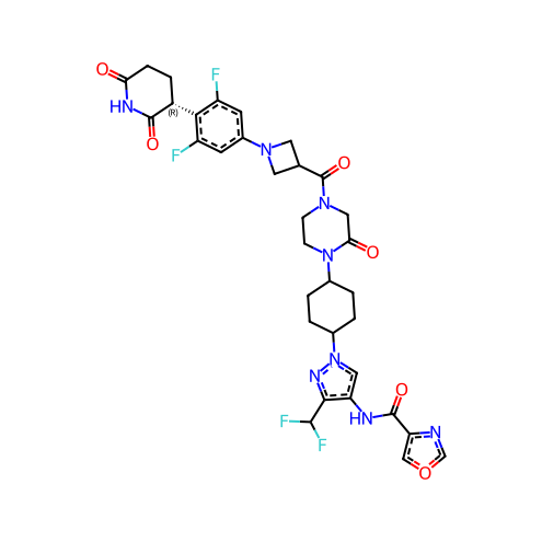 O=C1CC[C@H](c2c(F)cc(N3CC(C(=O)N4CCN(C5CCC(n6cc(NC(=O)c7cocn7)c(C(F)F)n6)CC5)C(=O)C4)C3)cc2F)C(=O)N1